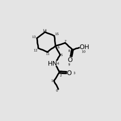 CCC(=O)NCC1(CC(=O)O)CCCCC1